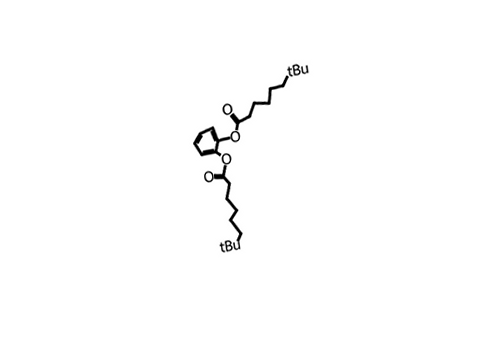 CC(C)(C)CCCCCC(=O)Oc1ccccc1OC(=O)CCCCCC(C)(C)C